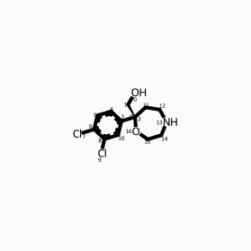 OC[C@@]1(c2ccc(Cl)c(Cl)c2)CCNCCO1